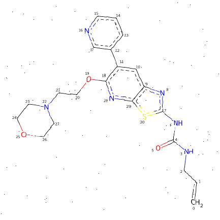 C=CCNC(=O)Nc1nc2cc(-c3cccnc3)c(OCCN3CCOCC3)nc2s1